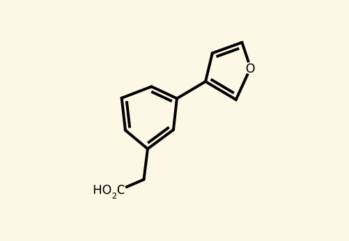 O=C(O)Cc1cccc(-c2ccoc2)c1